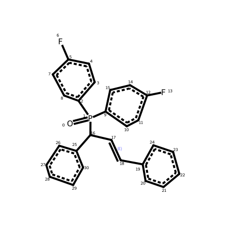 O=P(c1ccc(F)cc1)(c1ccc(F)cc1)C(/C=C/c1ccccc1)c1ccccc1